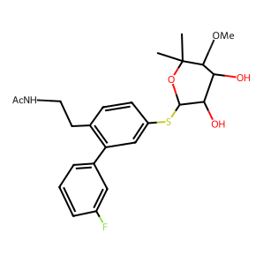 COC1C(O)C(O)C(Sc2ccc(CCNC(C)=O)c(-c3cccc(F)c3)c2)OC1(C)C